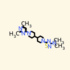 Cc1cc(N2CCC(C3CCN(c4nc(N(C)C)ns4)CC3)CC2)nc(C)n1